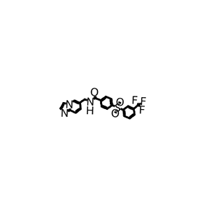 O=C(NCc1ccc2nccn2c1)c1ccc(S(=O)(=O)c2cccc(C(F)(F)F)c2)cc1